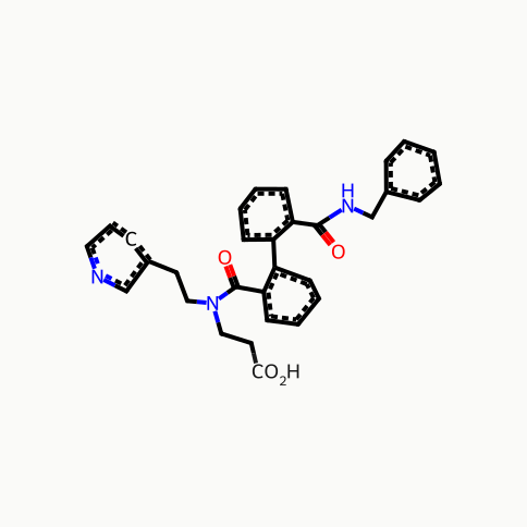 O=C(O)CCN(CCc1cccnc1)C(=O)c1ccccc1-c1ccccc1C(=O)NCc1ccccc1